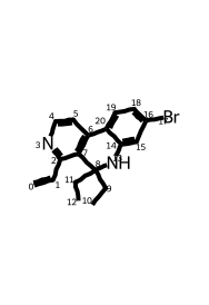 C=Cc1nccc2c1C(CC)(CC)Nc1cc(Br)ccc1-2